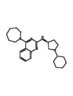 c1ccc2c(N3CCCCCC3)nc(N[C@H]3CCN(C4CCCCC4)C3)nc2c1